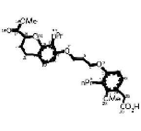 CCCc1c(OCCCOc2ccc3c(c2CCC)OC(C(=O)OC)CC3)ccc(CC(=O)O)c1OC